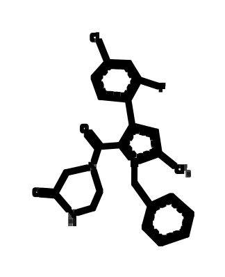 O=C1CN(C(=O)c2c(-c3ccc(Cl)cc3F)cc(C(F)(F)F)n2Cc2ccccc2)CCN1